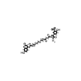 NC(=O)C(CNC(=O)CCC(=O)NCCOCCOCCNC(=O)Cc1cc(=O)oc2cc(O)ccc12)c1ccc(O)c([N+](=O)[O-])c1